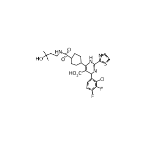 CC(C)(O)CCNS(=O)(=O)C1CCC(C2=C(C(=O)O)C(c3ccc(F)c(F)c3Cl)N=C(c3nccs3)N2)CC1